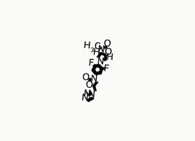 CN1C(=O)O[C@@H]2CN(c3c(F)cc(N4CC(Cn5ccnn5)OC4=O)cc3F)C[C@@H]21